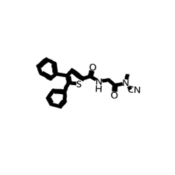 CN(C#N)C(=O)CNC(=O)c1cc(-c2ccccc2)c(-c2ccccc2)s1